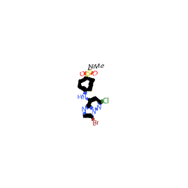 CNS(=O)(=O)c1ccc(Nc2cc(Cl)nn3c(Br)cnc23)cc1